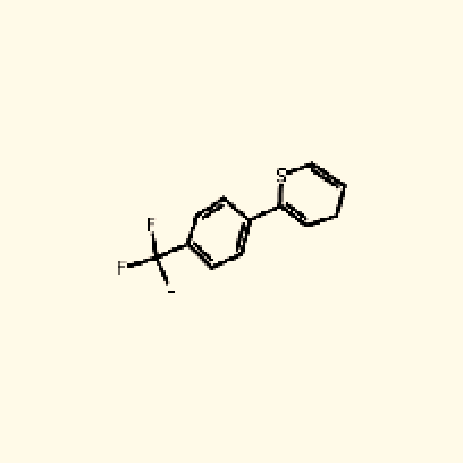 FC(F)(F)c1ccc(C2=CCC=CS2)cc1